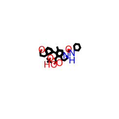 Cc1cc2c(c(C(OC(C)(C)C)C(=O)O)c1-c1ccc3c(c1)CCCO3)CCCN2C(=O)NC1CCCCC1